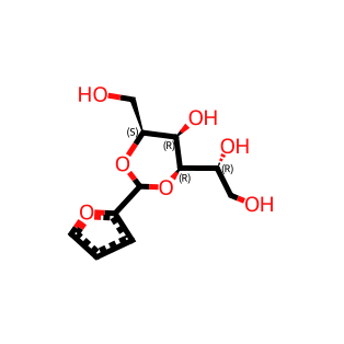 OC[C@@H](O)[C@H]1OC(c2ccco2)O[C@@H](CO)[C@H]1O